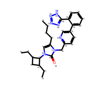 CCCCc1cn(C2C(CC)CC2CC)c(=O)n1Cc1ccc(-c2ccccc2-c2nnn[nH]2)cn1